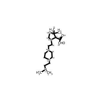 CN(C)CCN1CCN(CCN2COC(C)(C)C2C(=O)C=O)CC1